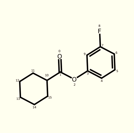 O=C(Oc1cccc(F)c1)C1CCCCC1